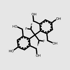 OCc1cc(O)cc(CO)c1C(c1c(CO)cc(O)cc1CO)(C(F)F)C(F)F